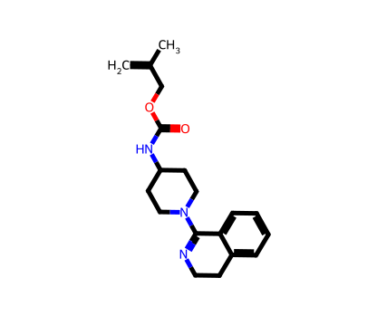 C=C(C)COC(=O)NC1CCN(C2=NCCc3ccccc32)CC1